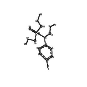 CCOC(c1ccc(F)cc1)P(=O)(OCC)OCC